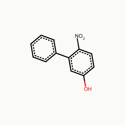 O=[N+]([O-])c1ccc(O)cc1-c1[c]cccc1